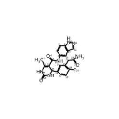 CC1=C(C(=O)Nc2ccc3[nH]ncc3c2)C(c2ccc(F)c(CC(N)=O)c2)NC(=O)N1